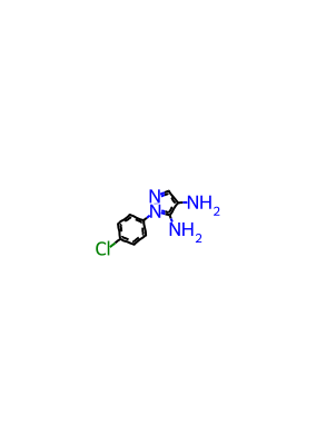 Nc1cnn(-c2ccc(Cl)cc2)c1N